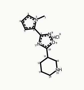 Cl.Cn1cccc1-c1noc(C2CCCNC2)n1